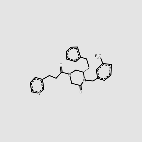 O=C(CCc1cccnc1)N1CC(=O)N(Cc2cccc(C(F)(F)F)c2)[C@@H](CCc2ccccc2)C1